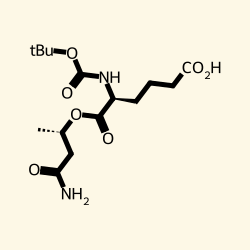 C[C@@H](CC(N)=O)OC(=O)[C@H](CCCC(=O)O)NC(=O)OC(C)(C)C